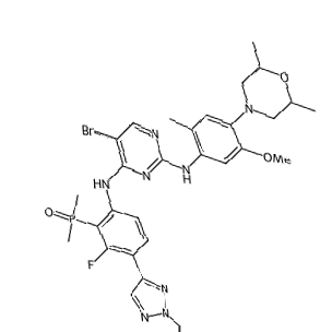 COc1cc(Nc2ncc(Br)c(Nc3ccc(-c4cnn(C)n4)c(F)c3P(C)(C)=O)n2)c(C)cc1N1CC(C)OC(C)C1